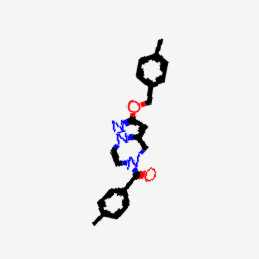 Cc1ccc(COc2cc3n(n2)CCN(C(=O)c2ccc(C)cc2)C3)cc1